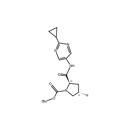 CC(C)(C)OC(=O)N1C[C@@H](F)C[C@@H]1C(=O)Nc1cnc(C2CC2)nc1